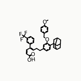 COc1ccc(COc2cc(CC/C=C(/C=C\C(=O)O)c3cccc(C(F)(F)F)c3)ccc2C23CC4CC(CC(C4)C2)C3)cc1